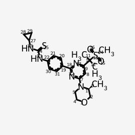 C[C@H]1COCCN1c1cc(C(C)(C)S(C)(=O)=O)nc(-c2ccc(NC(=S)NC3CC3)cc2)n1